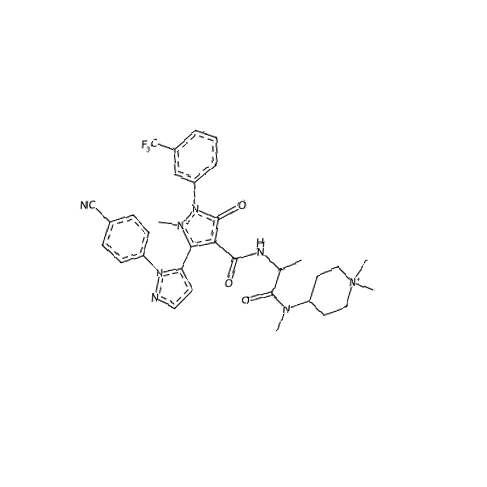 CC(NC(=O)c1c(-c2ccnn2-c2ccc(C#N)cc2)n(C)n(-c2cccc(C(F)(F)F)c2)c1=O)C(=O)N(C)C1CC[N+](C)(C)CC1